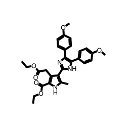 CCOC(=O)Cc1c(C(=O)OCC)[nH]c(C)c1-c1nc(-c2ccc(OC)cc2)c(-c2ccc(OC)cc2)[nH]1